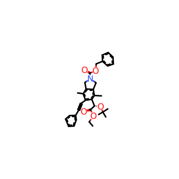 CCOC(=O)[C@@H](OC(C)(C)C)c1c(C)c2c(c(C)c1C#Cc1ccccc1)CN(C(=O)OCc1ccccc1)C2